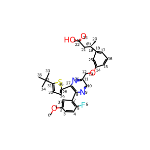 COc1ccc(F)c(-c2ncc(COc3cccc([C@H](C)CC(=O)O)c3)nc2-c2ccc(C(C)(C)C)s2)c1